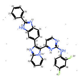 Fc1ccc(Nc2nccc(-c3c(-c4ccc5nc(-c6ccccc6)[nH]c5c4)nc4ccccn34)n2)c(F)c1